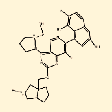 CCc1c(F)ccc2cc(O)cc(-c3ncc4c(N5CCC[C@@H]5CO)nc(OCC56CCCN5C[C@H](F)C6)nc4c3F)c12